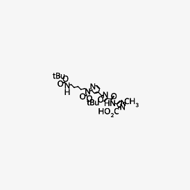 Cn1cc(NC(=O)c2coc(-c3ccnc(N(CCCCCNC(=O)OC(C)(C)C)C(=O)OC(C)(C)C)c3)n2)c(C(=O)O)n1